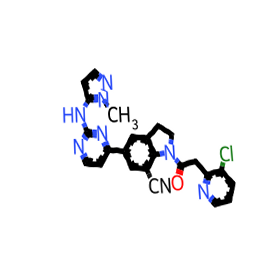 Cn1nccc1Nc1nccc(-c2cc(C#N)c3c(c2)CCN3C(=O)Cc2ncccc2Cl)n1